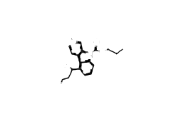 CCCOC(=O)n1c2cnccc2c2c(C(Br)CCCl)cccc21